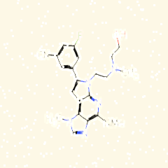 [C-]#[N+]c1cc(F)cc(-c2cc3c4c(ncn4C)c(NC)nc3n2CCN(C)CCO)c1